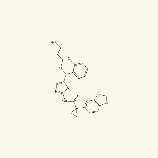 O=C(Nc1ncc(C(OCCCO)c2ccccc2Cl)s1)C1(c2ccc3c(c2)OCO3)CC1